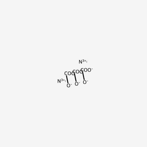 O=C([O-])[O-].O=C([O-])[O-].O=C([O-])[O-].[N+3].[N+3]